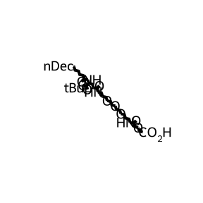 CCCCCCCCCCCCCCCC(=O)NC(CCC(=O)NCCCOCCOCCOCCCNC(=O)COCC(=O)O)C(=O)OC(C)(C)C